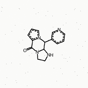 O=C1c2cccn2C(c2cccnc2)C2NCCN12